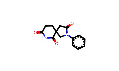 O=C1CCC2(CC(=O)N(c3ccccc3)C2)C(=O)N1